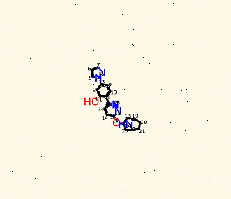 Oc1cc(-n2cccn2)ccc1-c1ccc(OC2CC3CCC(C2)N3)nn1